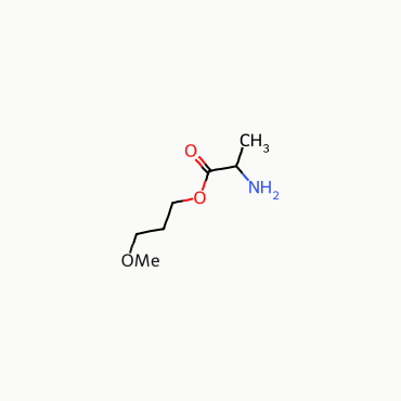 COCCCOC(=O)C(C)N